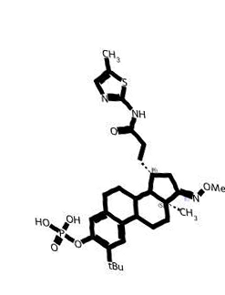 CO/N=C1\C[C@@H](CCC(=O)Nc2ncc(C)s2)C2C3CCc4cc(OP(=O)(O)O)c(C(C)(C)C)cc4C3CC[C@]12C